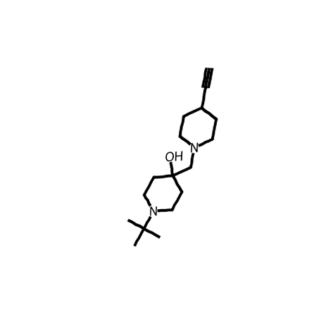 C#CC1CCN(CC2(O)CCN(C(C)(C)C)CC2)CC1